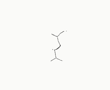 [CH2]C(C)C[CH]C(C)C